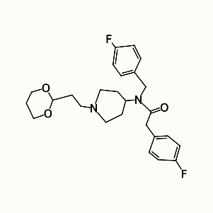 O=C(Cc1ccc(F)cc1)N(Cc1ccc(F)cc1)C1CCN(CCC2OCCCO2)CC1